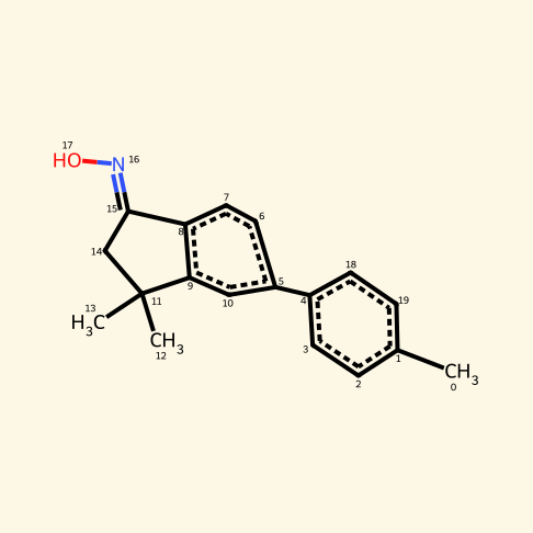 Cc1ccc(-c2ccc3c(c2)C(C)(C)CC3=NO)cc1